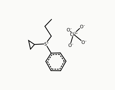 CCC[S+](c1ccccc1)C1CC1.[O-][Cl+3]([O-])([O-])[O-]